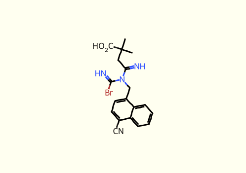 CC(C)(CC(=N)N(Cc1ccc(C#N)c2ccccc12)C(=N)Br)C(=O)O